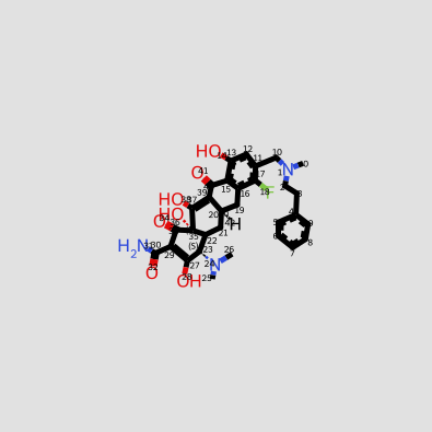 CN(CCc1ccccc1)Cc1cc(O)c2c(c1F)C[C@H]1CC3[C@H](N(C)C)C(O)=C(C(N)=O)C(=O)[C@@]3(O)C(O)=C1C2=O